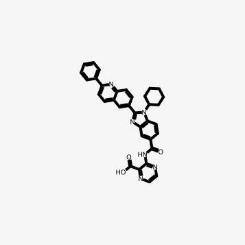 O=C(Nc1nccnc1C(=O)O)c1ccc2c(c1)nc(-c1ccc3nc(-c4ccccc4)ccc3c1)n2C1CCCCC1